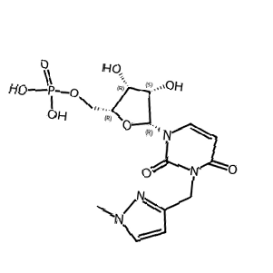 Cn1ccc(Cn2c(=O)ccn([C@@H]3O[C@H](COP(=O)(O)O)[C@H](O)[C@@H]3O)c2=O)n1